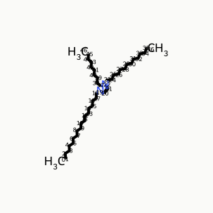 CCCCCCCCCCCCCCCCCCC[n+]1ccn(CCCCCCCCCCCCCC)c1CCCCCCCCC